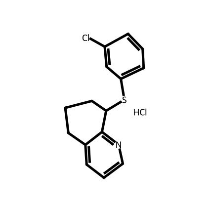 Cl.Clc1cccc(SC2CCCc3cccnc32)c1